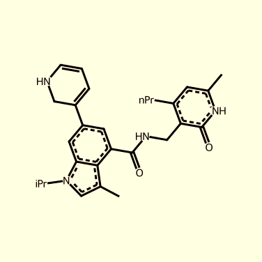 CCCc1cc(C)[nH]c(=O)c1CNC(=O)c1cc(C2=CC=CNC2)cc2c1c(C)cn2C(C)C